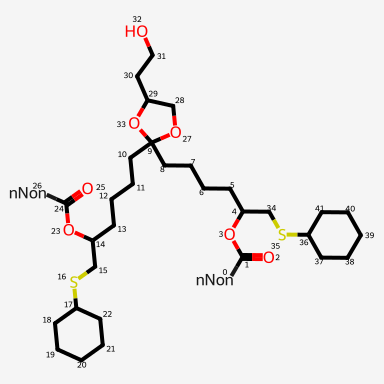 CCCCCCCCCC(=O)OC(CCCCC1(CCCCC(CSC2CCCCC2)OC(=O)CCCCCCCCC)OCC(CCO)O1)CSC1CCCCC1